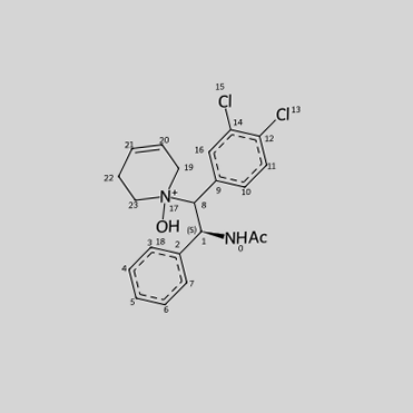 CC(=O)N[C@@H](c1ccccc1)C(c1ccc(Cl)c(Cl)c1)[N+]1(O)CC=CCC1